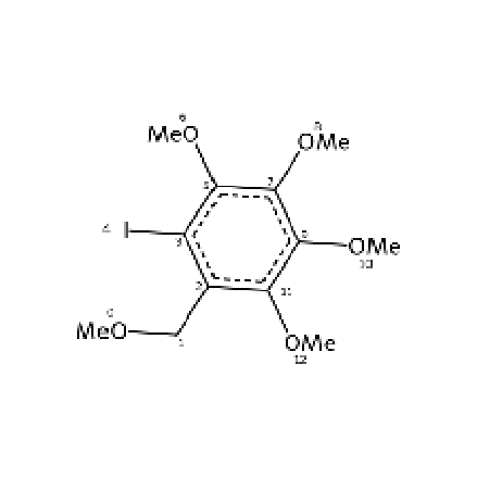 COCc1c(I)c(OC)c(OC)c(OC)c1OC